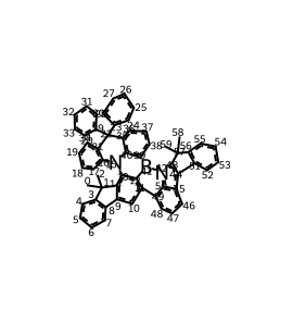 CC1(C)c2ccccc2-c2cc3c4c(c21)N1c2ccccc2C(c2ccccc2)(c2ccccc2)c2cccc(c21)B4n1c2c(c4cccc-3c41)-c1ccccc1C2(C)C